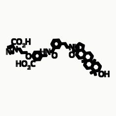 CC1(C)C(O)CCC2(C)C1CCC1(C)C3CCC4(C(=O)NCCc5cccc(C(=O)NCc6ccc(OCCCn7cncc7C(=O)O)c(C(=O)O)c6)c5)CCCC4C3CCC12